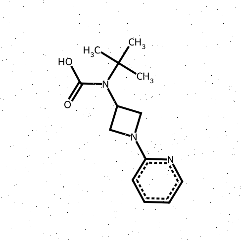 CC(C)(C)N(C(=O)O)C1CN(c2ccccn2)C1